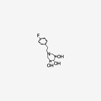 OC1[C@H](O)CN(CCc2ccc(F)cc2)C[C@@H]1O